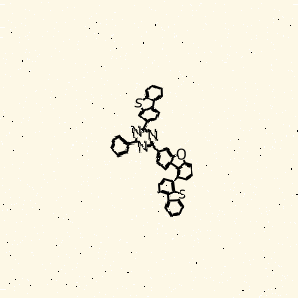 c1ccc(-c2nc(-c3ccc4c(c3)oc3cccc(-c5cccc6c5sc5ccccc56)c34)nc(-c3ccc4c(c3)sc3ccccc34)n2)cc1